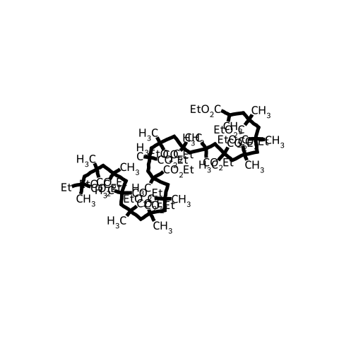 CCOC(=O)C(C)CC(C)(CC(C)(CC(C)(CC(C)(CC(C)(CC(C)(CC(C)(CC(C)(CC(C)(CC(C)(CC(C)(CC(C)(CC(C)(CC(C)(CC(C)(CC(C)(CC)C(=O)OCC)C(=O)OCC)C(=O)OCC)C(=O)OCC)C(=O)OCC)C(=O)OCC)C(=O)OCC)C(=O)OCC)C(=O)OCC)C(=O)OCC)C(=O)OCC)C(=O)OCC)C(=O)OCC)C(=O)OCC)C(=O)OCC)C(=O)OCC